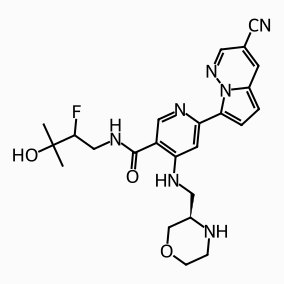 CC(C)(O)C(F)CNC(=O)c1cnc(-c2ccc3cc(C#N)cnn23)cc1NC[C@@H]1COCCN1